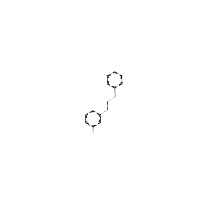 Nc1cccc(CCCc2cccc(Cl)c2)c1